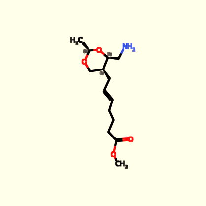 COC(=O)CCCC=CC[C@H]1CO[C@@H](C)O[C@H]1CN